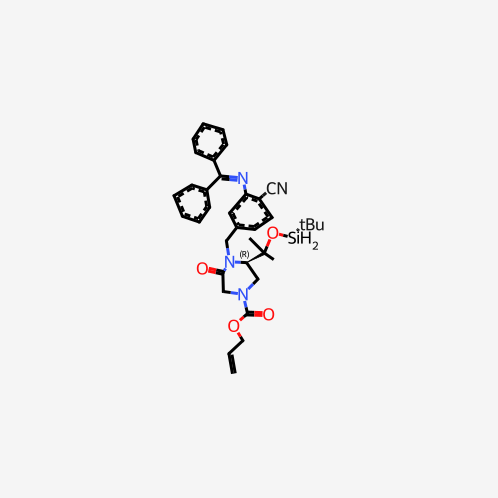 C=CCOC(=O)N1CC(=O)N(Cc2ccc(C#N)c(N=C(c3ccccc3)c3ccccc3)c2)[C@@H](C(C)(C)O[SiH2]C(C)(C)C)C1